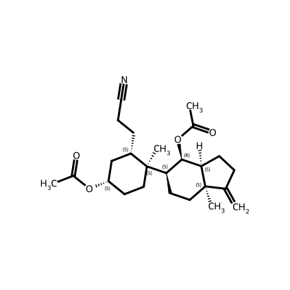 C=C1CC[C@@H]2[C@H](OC(C)=O)[C@H]([C@@]3(C)CC[C@H](OC(C)=O)C[C@@H]3CCC#N)CC[C@]12C